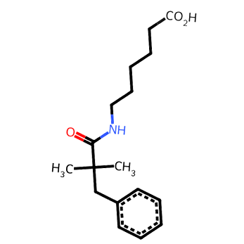 CC(C)(Cc1ccccc1)C(=O)NCCCCCC(=O)O